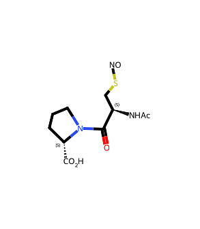 CC(=O)N[C@H](CSN=O)C(=O)N1CCC[C@H]1C(=O)O